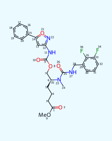 COC(=O)CCC[C@@H](COC(=O)Nc1cc(-c2ccccc2)on1)N(C)C(=O)NCc1cccc(F)c1F